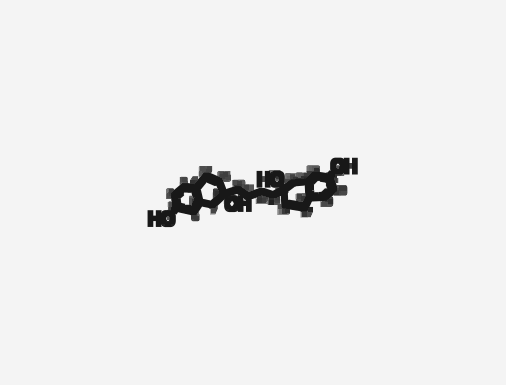 Oc1ccc2c(c1)CC(O)(CCCCC1(O)C=Cc3ccc(O)cc3C1)C=C2